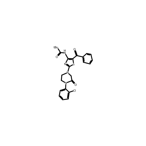 CC(C)(C)C(=O)Nc1nc(N2CCN(c3ccccc3Cl)C(=O)C2)sc1C(=O)c1ccccc1